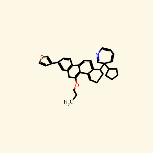 CCCOC1=c2c(ccc3c2=CCCC3C2(C3CCCC3)C=CC=CN=C2)-c2ccc(-c3ccsc3)cc2C1